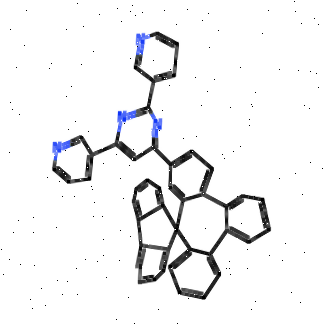 c1cncc(-c2cc(-c3ccc4c(c3)C3(c5ccccc5-c5ccccc5-4)c4ccccc4-c4ccccc43)nc(-c3cccnc3)n2)c1